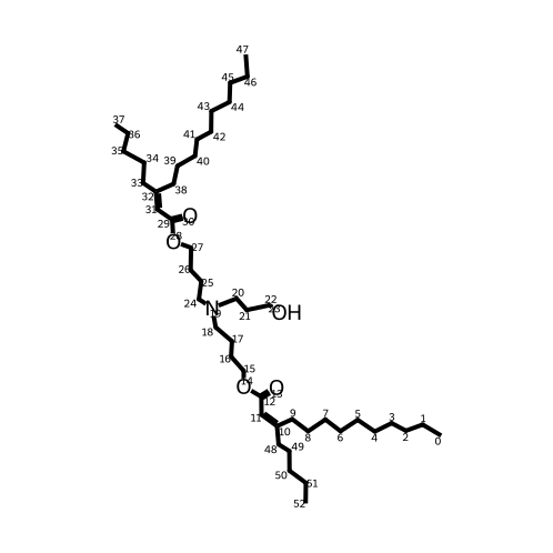 CCCCCCCCCCC(=CC(=O)OCCCCN(CCCO)CCCCOC(=O)/C=C(/CCCCC)CCCCCCCCCC)CCCCC